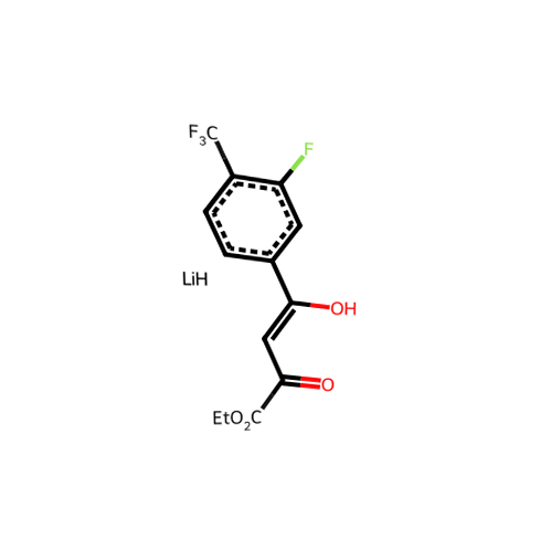 CCOC(=O)C(=O)C=C(O)c1ccc(C(F)(F)F)c(F)c1.[LiH]